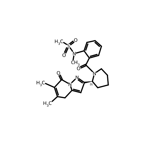 CC1=C(C)C(=O)n2nc([C@@H]3CCCCN3C(=O)c3ccccc3N(C)S(C)(=O)=O)cc2C1